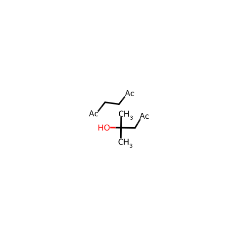 CC(=O)CC(C)(C)O.CC(=O)CCC(C)=O